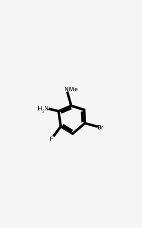 CNc1cc(Br)cc(F)c1N